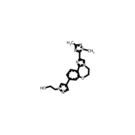 Cc1nc(-c2cn3c(n2)-c2ccc(-c4cnn(CCO)c4)cc2OCC3)n(C)n1